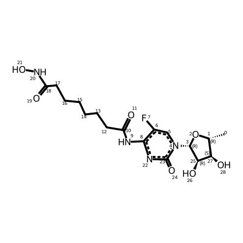 C[C@H]1O[C@@H](n2cc(F)c(NC(=O)CCCCCCC(=O)NO)nc2=O)[C@H](O)[C@@H]1O